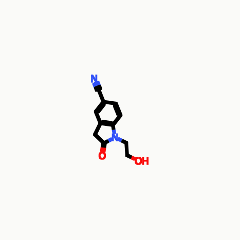 N#Cc1ccc2c(c1)CC(=O)N2CCO